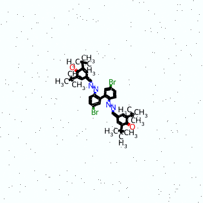 CC(C)(C)C1=CC(=C/N=N/c2ccc(Br)cc2-c2cc(Br)ccc2/N=N/C=C2C=C(C(C)(C)C)C(=O)C(C(C)(C)C)=C2)C=C(C(C)(C)C)C1=O